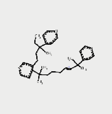 CCC(C)(CCc1cnccc1C(C)(C)CCC/C=C/C(C)(C)c1ccncc1)c1ccncc1